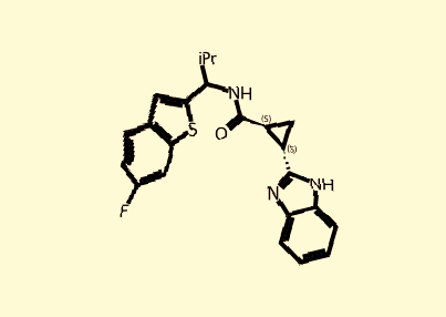 CC(C)C(NC(=O)[C@H]1C[C@@H]1c1nc2ccccc2[nH]1)c1cc2ccc(F)cc2s1